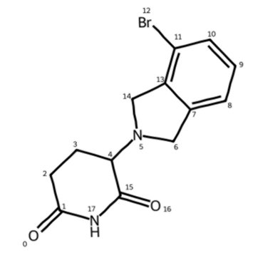 O=C1CCC(N2Cc3cccc(Br)c3C2)C(=O)N1